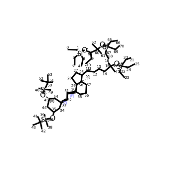 CC[Si](CC)(CC)OC(CC[C@H](CCCC(C)(C)O[Si](CC)(CC)CC)C1CCC2/C(=C/C=C3/CC(O[Si](C)(C)C(C)(C)C)C[C@H](O[Si](C)(C)C(C)(C)C)C3)CCC[C@@]21C)C(C)(C)O[Si](CC)(CC)CC